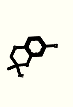 CC(=O)C1(C)COc2ccc(Cl)cc2O1